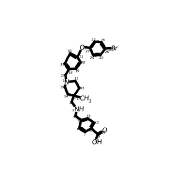 CC1(CNCc2ccc(C(=O)O)cc2)CCN(Cc2ccc(Oc3ccc(Br)cc3)cc2)CC1